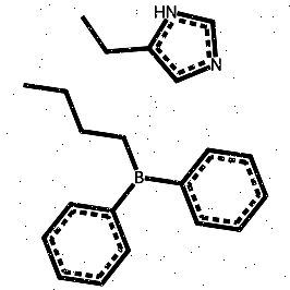 CCCCB(c1ccccc1)c1ccccc1.CCc1cnc[nH]1